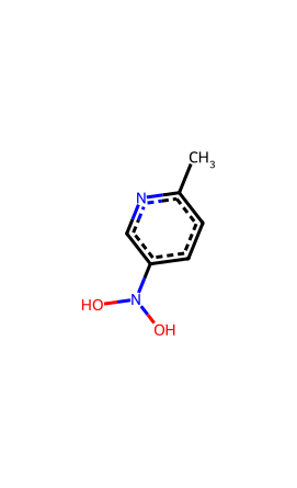 Cc1ccc(N(O)O)cn1